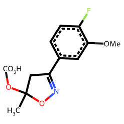 COc1cc(C2=NOC(C)(OC(=O)O)C2)ccc1F